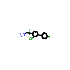 NCC(F)(F)c1ccc(-c2ccc(F)cc2)cc1Cl